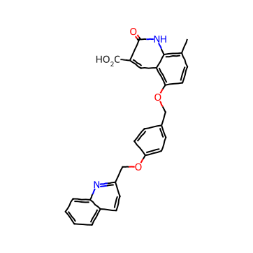 Cc1ccc(OCc2ccc(OCc3ccc4ccccc4n3)cc2)c2cc(C(=O)O)c(=O)[nH]c12